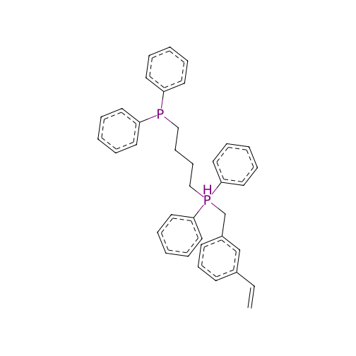 C=Cc1cccc(C[PH](CCCCP(c2ccccc2)c2ccccc2)(c2ccccc2)c2ccccc2)c1